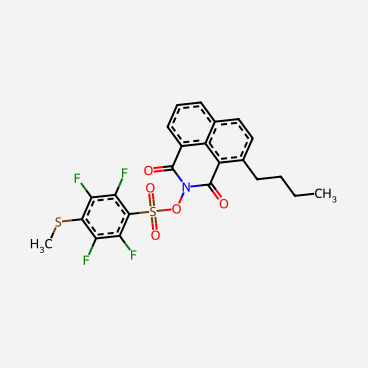 CCCCc1ccc2cccc3c2c1C(=O)N(OS(=O)(=O)c1c(F)c(F)c(SC)c(F)c1F)C3=O